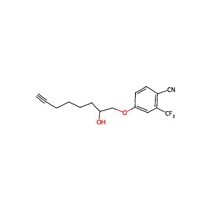 C#CCCCCC(O)COc1ccc(C#N)c(C(F)(F)F)c1